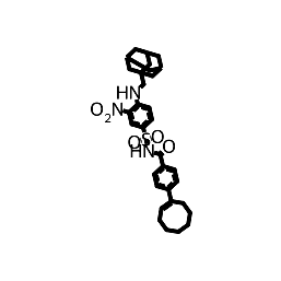 O=C(NS(=O)(=O)c1ccc(NCC23CC4CC(CC(C4)C2)C3)c([N+](=O)[O-])c1)c1ccc(/C2=C/CCCCCC2)cc1